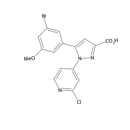 COc1cc(Br)cc(-c2cc(C(=O)O)nn2-c2ccnc(Cl)c2)c1